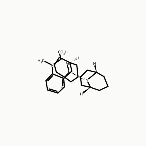 CC(=O)N(c1ccccc1N(C)CC(=O)O)[C@H]1C[C@H]2CCC[C@@H](C1)N2[C@H]1C[C@@H]2CCC[C@@H](C2)C1